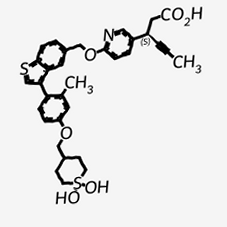 CC#C[C@H](CC(=O)O)c1ccc(OCc2ccc3scc(-c4ccc(OCC5CCS(O)(O)CC5)cc4C)c3c2)nc1